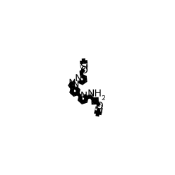 CC(C)(C)[Si](C)(C)OCc1cccc(-n2ncc3ccc(-c4cccc([C@H](N)C5CC(O[Si](C)(C)C(C)(C)C)C5)n4)cc32)n1